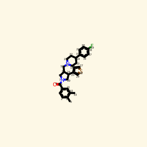 Cc1ccc(C(=O)N2CC(CN3CCC(c4ccc(F)cc4)CC3)C(c3ccsc3)C2)cc1C